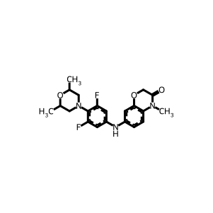 CC1CN(c2c(F)cc(Nc3ccc4c(c3)OCC(=O)N4C)cc2F)CC(C)O1